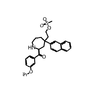 CC(C)Oc1cccc(C(=O)C2CC(CCOS(C)(=O)=O)(c3ccc4ccccc4c3)CCCN2)c1